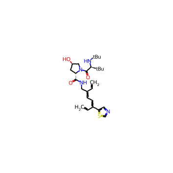 C=C/C(=C\C=C(/C=C)c1cncs1)CNC(=O)[C@@H]1C[C@@H](O)CN1C(=O)[C@@H](NC(C)(C)C)C(C)(C)C